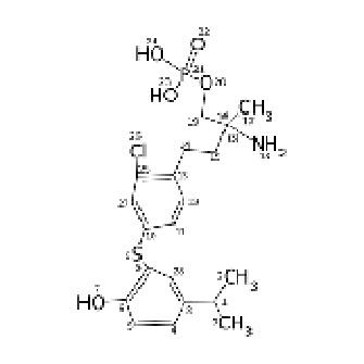 CC(C)c1ccc(O)c(Sc2ccc(CC[C@](C)(N)COP(=O)(O)O)c(Cl)c2)c1